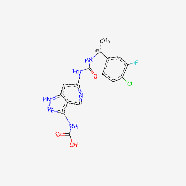 C[C@@H](NC(=O)Nc1cc2[nH]nc(NC(=O)O)c2cn1)c1ccc(Cl)c(F)c1